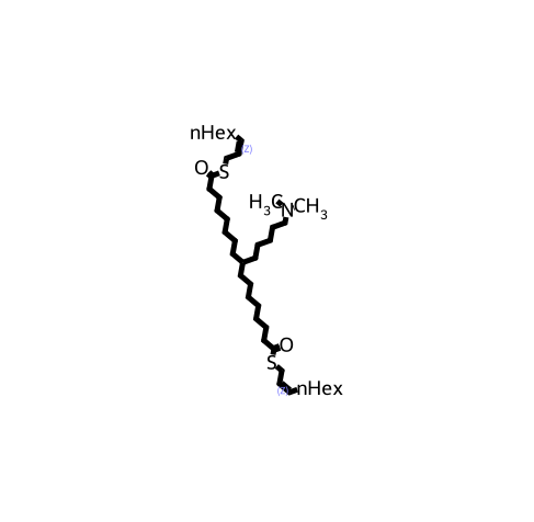 CCCCCC/C=C\CSC(=O)CCCCCCCC(CCCCCCCC(=O)SC/C=C\CCCCCC)CCCCCN(C)C